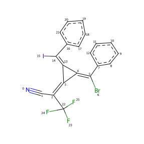 N#C/C(=C1/C(=C(Br)c2ccccc2)/C1=C(/I)c1ccccc1)C(F)(F)F